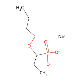 CCCCOC(CC)S(=O)(=O)[O-].[Na+]